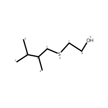 CC(C)C(C)CSCCO